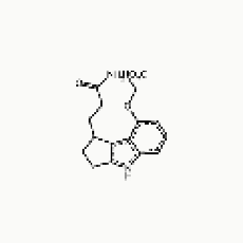 NC(=O)CCC1CCc2[nH]c3cccc(OCC(=O)O)c3c21